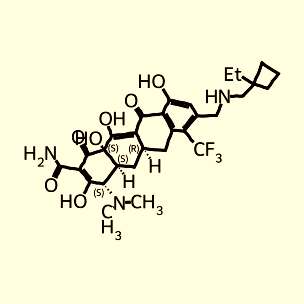 CCC1(CNCc2cc(O)c3c(c2C(F)(F)F)C[C@H]2C[C@H]4[C@H](N(C)C)C(O)=C(C(N)=O)C(=O)[C@@]4(O)C(O)=C2C3=O)CCC1